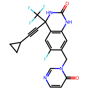 O=C1Nc2cc(Cn3cnccc3=O)c(F)cc2C(C#CC2CC2)(C(F)(F)F)N1